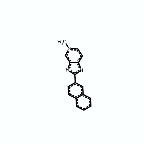 Cn1ccc2nc(-c3ccc4ccccc4c3)nc-2c1